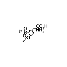 N[C@@H](Cc1ccc(OC(=O)C2CC2)c(OC(=O)C2CC2)c1)C(=O)O